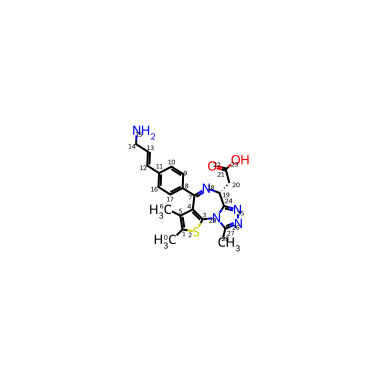 Cc1sc2c(c1C)C(c1ccc(/C=C/CN)cc1)=N[C@H](CC(=O)O)c1nnc(C)n1-2